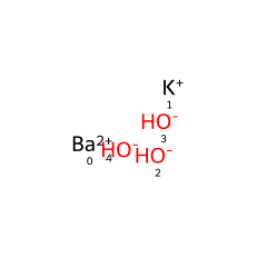 [Ba+2].[K+].[OH-].[OH-].[OH-]